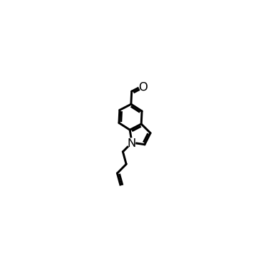 C=CCCn1ccc2cc(C=O)ccc21